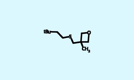 CC(C)(C)CCSCC1(C)COC1